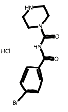 Cl.O=C(NC(=O)N1CCNCC1)c1ccc(Br)cc1